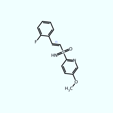 COc1ccc(S(=N)(=O)/C=C/c2ccccc2F)nc1